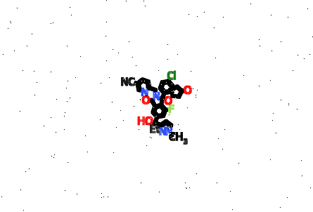 CCC(O)(c1cc(F)c2c(c1)C(=O)N(Cc1ccc(C#N)cn1)[C@@]2(O[C@H]1CCC(=O)C1)c1ccc(Cl)cc1)c1ccn(C)n1